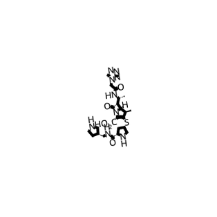 C[C@@H](NC(=O)Cn1cnnn1)[C@H]1C(=O)N2C(C(=O)O)=C(S[C@@H]3CN[C@H](C(=O)NC[C@@H]4CCNC4)C3)[C@H](C)[C@H]12